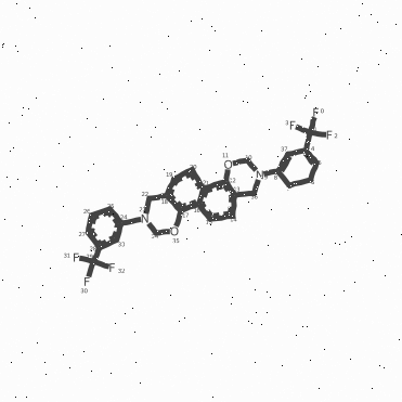 FC(F)(F)C1=CCCC(N2COc3c(ccc4c5c(ccc34)CN(c3cccc(C(F)(F)F)c3)CO5)C2)=C1